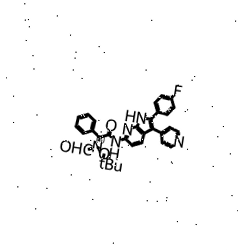 CC(C)(C)ON(C=O)[C@H](C(=O)Nc1ccc2c(-c3ccncc3)c(-c3ccc(F)cc3)[nH]c2n1)c1ccccc1